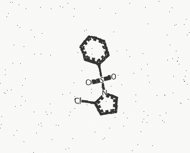 O=S(=O)(c1ccccc1)n1cccc1Cl